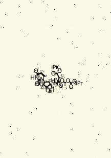 CC(C)OC(=O)OCOP(=O)(N[C@@H](C)C(=O)OC(C)C)OC[C@@]1(CF)C[C@@H](n2ccc(=O)[nH]c2=O)[C@](C)(O)[C@@H]1O